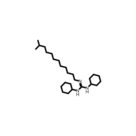 CC(C)CCCCCCCCCCN=C(NC1CCCCC1)NC1CCCCC1